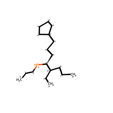 CCCP[C@@H](CCCC1CCCC1)C(CC)CCC